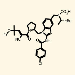 CCOC(C)(C)/C=C(\C#N)C(=O)N1CCCC1Cn1c(NC(=O)c2ccc(Cl)cc2)nc2cc(CN(C(=O)O)[C@@H](C)C(C)(C)C)ccc21